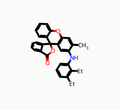 CCc1cccc(Nc2cc3c(cc2C)Oc2ccccc2C32OC(=O)c3ccccc32)c1CC